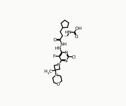 CC1(N2CCOCC2)CN(c2nc(Cl)nc(NNC(=O)[C@@H](CNC(=O)O)CC3CCCC3)c2F)C1